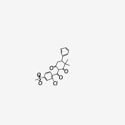 CC1(C)C(=O)C(C(=O)c2ccc(S(C)(=O)=O)cc2Cl)C(=O)CC1c1ccccc1